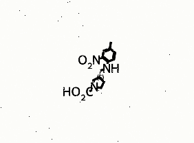 Cc1ccc(NC[C@@H]2CCN(C(=O)O)C2)c([N+](=O)[O-])c1